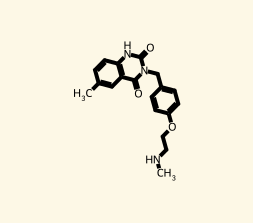 CNCCOc1ccc(Cn2c(=O)[nH]c3ccc(C)cc3c2=O)cc1